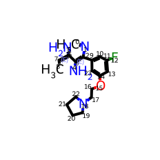 C=N/C(=C(N)\C(N)=C/C)c1cc(F)cc(OCCN2CCCC2)c1